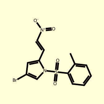 Cc1ccccc1S(=O)(=O)n1cc(Br)cc1C=C[N+](=O)[O-]